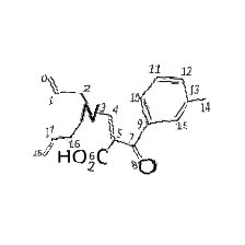 C=CCN(C=C(C(=O)O)C(=O)c1cccc(C)c1)CC=C